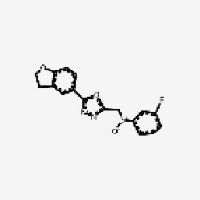 [O-][S+](Cc1nnc(-c2ccc3c(c2)CCO3)o1)c1cccc(F)c1